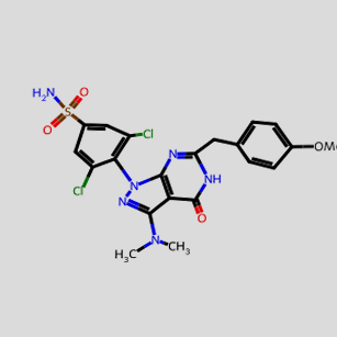 COc1ccc(Cc2nc3c(c(N(C)C)nn3-c3c(Cl)cc(S(N)(=O)=O)cc3Cl)c(=O)[nH]2)cc1